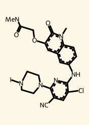 CNC(=O)COc1cc2cc(Nc3nc(N4CCN(I)CC4)c(C#N)cc3Cl)ccc2n(C)c1=O